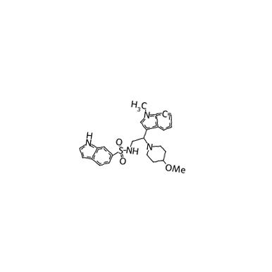 COC1CCN(C(CNS(=O)(=O)c2ccc3cc[nH]c3c2)c2cn(C)c3ccccc23)CC1